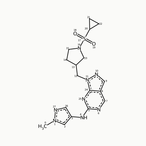 Cn1cc(Nc2ncc3cnn(CC4CCN(S(=O)(=O)C5CC5)C4)c3n2)cn1